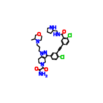 CC1COCCN1CCCn1nc(-c2ccc(Cl)c(C#Cc3ccc(Cl)c(C(=O)NCC4CCCN4)c3)c2)c2c1CCN(C(=O)C(N)=O)C2